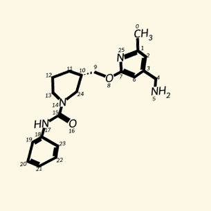 Cc1cc(CN)cc(OC[C@H]2CCCN(C(=O)Nc3ccccc3)C2)n1